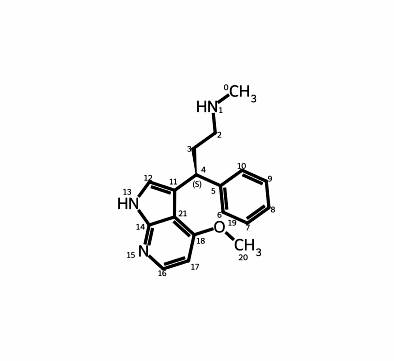 CNCC[C@@H](c1ccccc1)c1c[nH]c2nccc(OC)c12